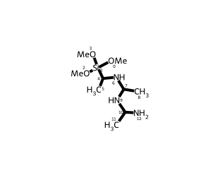 CO[Si](OC)(OC)C(C)NC(C)NC(C)N